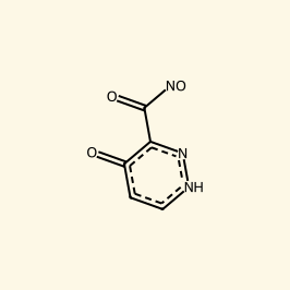 O=NC(=O)c1n[nH]ccc1=O